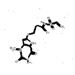 C=CS(=O)(=O)NC(=O)CCSc1cc2c([nH]1)c(=O)n(C)c(=O)n2C